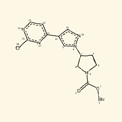 CC(C)(C)OC(=O)N1CCC(n2cc(-c3ccnc(Cl)n3)cn2)C1